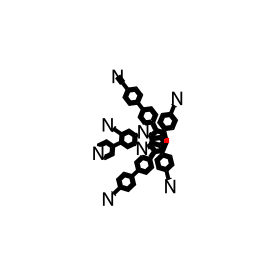 N#Cc1ccc(-c2ccc3c4ccc(-c5ccc(C#N)cc5)cc4n(-c4cc(C#N)c(-c5ccncc5)cc4-n4c5cc(-c6ccc(C#N)cc6)ccc5c5ccc(-c6ccc(C#N)cc6)cc54)c3c2)cc1